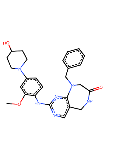 COc1cc(N2CCC(O)CC2)ccc1Nc1ncc2c(n1)N(Cc1ccccc1)CC(=O)NC2